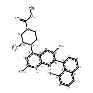 CC(C)(C)OC(=O)N1CCN(c2nc(Cl)nc3nc(-c4cccc5cccc(F)c45)c(F)cc23)[C@@H](C(F)(F)F)C1